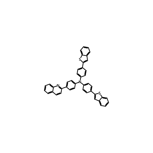 c1ccc2nc(-c3ccc(N(c4ccc(-c5cc6ccccc6s5)cc4)c4ccc(-c5cc6ccccc6s5)cc4)cc3)ccc2c1